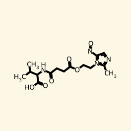 Cc1ncc(N=O)n1CCOC(=O)CCC(=O)NC(C(=O)O)C(C)C